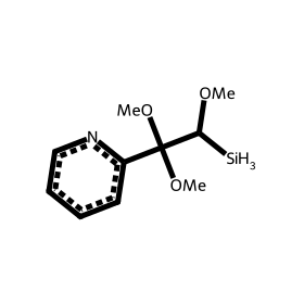 COC([SiH3])C(OC)(OC)c1ccccn1